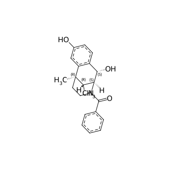 C[C@H]1[C@H]2[C@@H](O)c3ccc(O)cc3[C@]1(C)CCN2C(=O)c1ccccc1